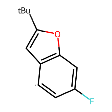 CC(C)(C)c1cc2[c]cc(F)cc2o1